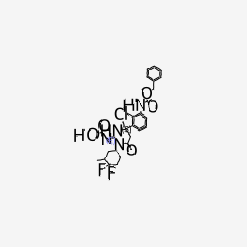 CC1CC(N2C(=O)C[C@@](C)(c3cccc(NC(=O)OCc4ccccc4)c3Cl)N/C2=N\C(=O)O)CCC1(F)F